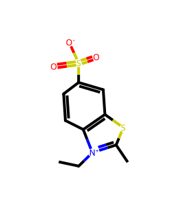 CC[n+]1c(C)sc2cc(S(=O)(=O)[O-])ccc21